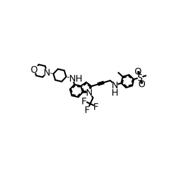 Cc1cc(S(C)(=O)=O)ccc1NCC#Cc1cc2c(N[C@H]3CC[C@@H](N4CCOCC4)CC3)cccc2n1CC(F)(F)F